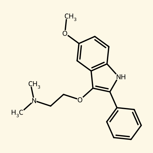 COc1ccc2[nH]c(-c3ccccc3)c(OCCN(C)C)c2c1